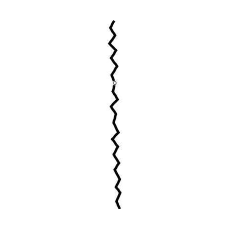 CCCCCCCCCCCCCCC[CH]OCCCCCCCC